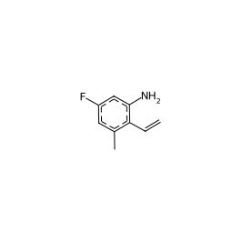 C=Cc1c(C)cc(F)cc1N